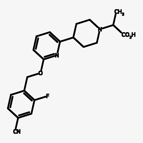 CC(C(=O)O)N1CCC(c2cccc(OCc3ccc(C#N)cc3F)n2)CC1